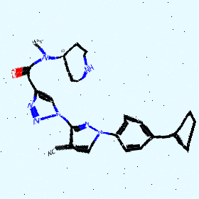 CC(C)N(C(=O)c1cn(-c2nn(-c3ccc(C4CC4)cc3)cc2C#N)nn1)[C@H]1CCNC1